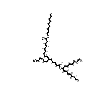 CCCCCCCCCOC(=O)CCCCCCC1CC(CCCCC(=O)OC(CCCCCCCC)CCCCCCCC)CCN1CCO